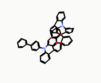 c1ccc(-c2ccc(N(c3ccc4c(c3)-c3ccccc3C43c4ccccc4-n4c5ccccc5c5cccc3c54)c3ccccc3-c3cccc(-c4ccccc4)c3)cc2)cc1